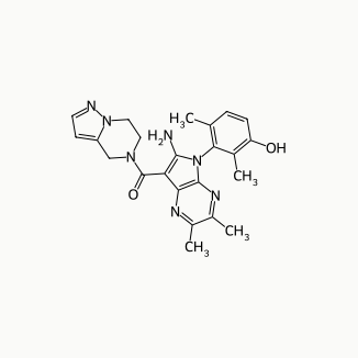 Cc1ccc(O)c(C)c1-n1c(N)c(C(=O)N2CCn3nccc3C2)c2nc(C)c(C)nc21